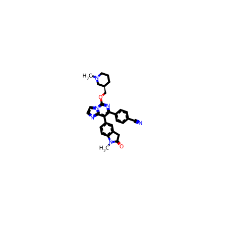 CN1CCC[C@@H](COc2nc(-c3ccc(C#N)cc3)c(-c3ccc4c(c3)CC(=O)N4C)c3nccn23)C1